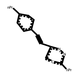 CCCc1ccc(C#Cc2ccc(CCC)nn2)cc1